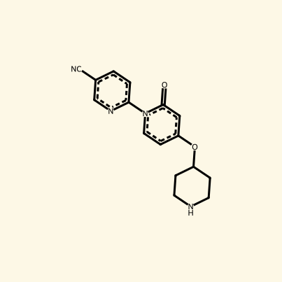 N#Cc1ccc(-n2ccc(OC3CCNCC3)cc2=O)nc1